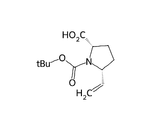 C=C[C@H]1CC[C@@H](C(=O)O)N1C(=O)OC(C)(C)C